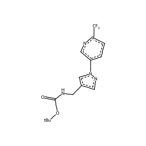 CC(C)(C)OC(=O)NCc1cnn(-c2ccc(C(F)(F)F)nc2)c1